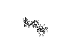 Cc1cc(Nc2ncnc3sc(C(=O)N4C[C@@H]5C[C@H]4CN5C)cc23)c(=O)n2c1C(=O)NC21CCCCC1